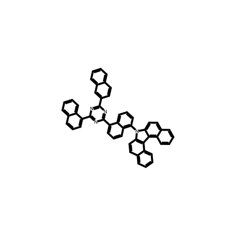 c1ccc2cc(-c3nc(-c4cccc5ccccc45)nc(-c4cccc5c(-n6c7ccc8ccccc8c7c7c8ccccc8ccc76)cccc45)n3)ccc2c1